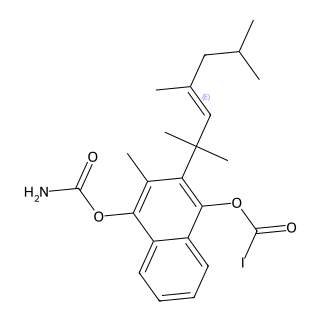 C/C(=C\C(C)(C)c1c(C)c(OC(N)=O)c2ccccc2c1OC(=O)I)CC(C)C